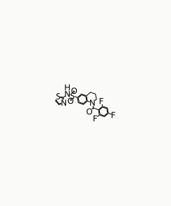 O=C(c1c(F)cc(F)cc1F)N1CCCc2cc(S(=O)(=O)Nc3nccs3)ccc21